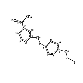 CCOc1ccc(COc2[c]c([N+](=O)[O-])ccc2)cc1